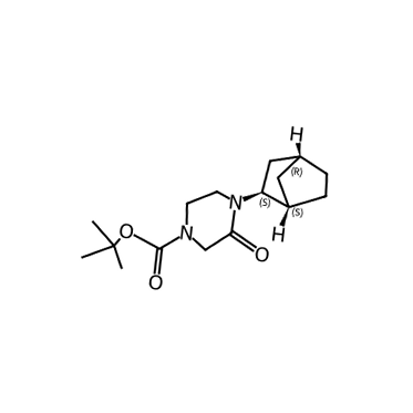 CC(C)(C)OC(=O)N1CCN([C@H]2C[C@@H]3CC[C@H]2C3)C(=O)C1